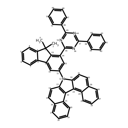 CC1(C)c2ccccc2-c2cc(-n3c4ccc5ccccc5c4c4c5ccccc5ccc43)cc(-c3nc(-c4ccccc4)nc(-c4ccccc4)n3)c21